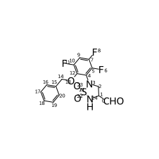 O=CC1CN(c2c(F)c(F)cc(F)c2OCc2ccccc2)S(=O)(=O)N1